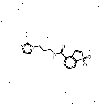 O=C(NCCCn1ccnc1)c1cccc2c1C=CS2(=O)=O